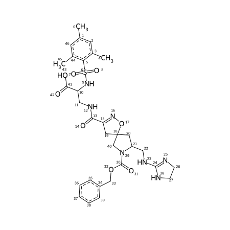 Cc1cc(C)c(S(=O)(=O)NC(CNC(=O)C2=NOC3(C2)CC(CNC2=NCCN2)N(C(=O)OCc2ccccc2)C3)C(=O)O)c(C)c1